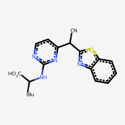 CC(C)(C)C(Nc1nccc(C(C#N)c2nc3ccccc3s2)n1)C(=O)O